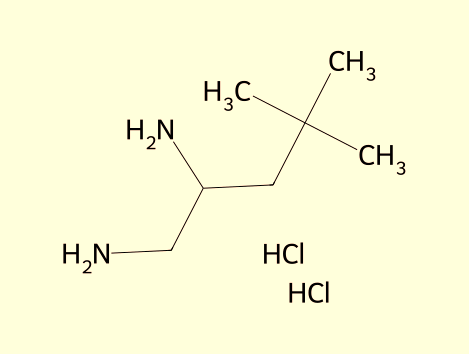 CC(C)(C)CC(N)CN.Cl.Cl